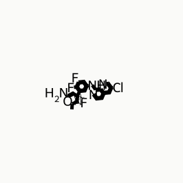 CC1OC(N)=C[C@@](CF)(c2cc(Nc3nccc4cc(Cl)cnc34)cc(F)c2F)[C@@H]1C